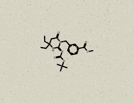 CCC1(CC)CC(=O)N(Cc2cccc(C(=O)OC)c2)C(=NC(=O)OC(C)(C)C)N1